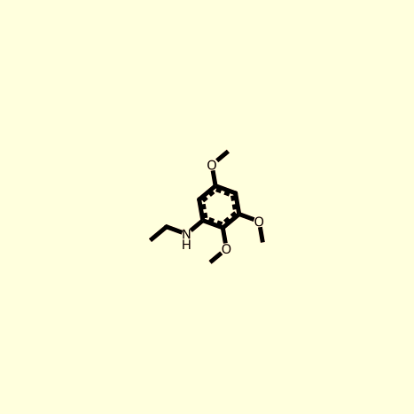 CCNc1cc(OC)cc(OC)c1OC